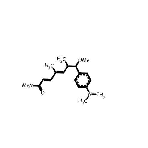 CNC(=O)/C=C/C(C)=C/C(C)C(OC)c1ccc(N(C)C)cc1